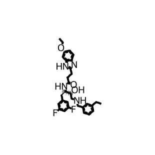 CCOc1ccc2nc(CCC(=O)N[C@H](Cc3cc(F)cc(F)c3)[C@@H](O)CNCc3cccc(CC)c3)[nH]c2c1